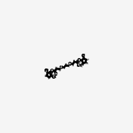 O=C(CCOCCCOCCC(=O)ON1C(=O)CCC1=O)OC1C(=O)CCC1=O